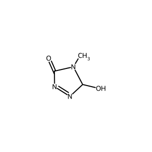 CN1C(=O)N=NC1O